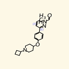 C/C=C\C(=N/NC=O)c1ccc(OC2CCN(C3CCC3)CC2)cc1